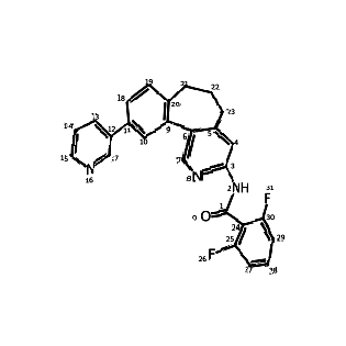 O=C(Nc1cc2c(cn1)-c1cc(-c3cccnc3)ccc1CCC2)c1c(F)cccc1F